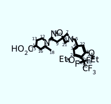 CCOc1cc(CN2CC3(CC(N4CCC(C(=O)O)CC4C)=NO3)C2)cc(OCC)c1C(F)(F)C(F)(F)F